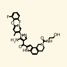 Cc1cc(Oc2c(F)cccc2F)ncc1-n1ncc(C(=O)c2cc3c4c(ccc3[nH]2)CCN(C(=O)NCCO)C4)c1N